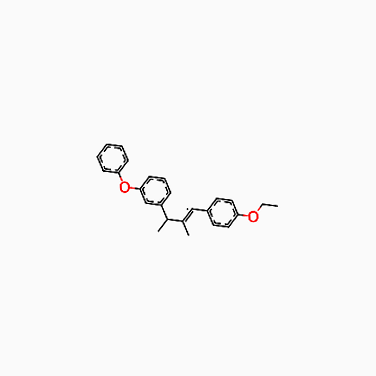 CCOc1ccc([C]=C(C)C(C)c2cccc(Oc3ccccc3)c2)cc1